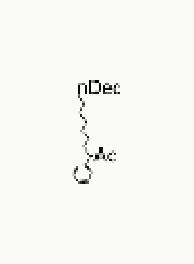 CCCCCCCCCCCCCCCCCC(C(C)=O)c1ccccc1